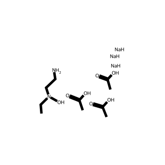 CC(=O)O.CC(=O)O.CC(=O)O.CCN(O)CCN.[NaH].[NaH].[NaH]